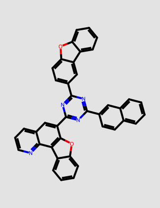 c1ccc2cc(-c3nc(-c4ccc5oc6ccccc6c5c4)nc(-c4cc5cccnc5c5c4oc4ccccc45)n3)ccc2c1